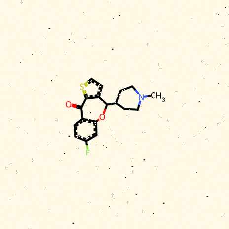 CN1CCC(C2Oc3cc(F)ccc3C(=O)c3sccc32)CC1